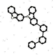 c1ccc(-c2cccc(-c3cccc(-c4ccc5c(c4)c4ccccc4n5-c4ccc5oc6ccccc6c5c4)c3)c2)cc1